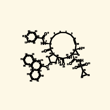 O=C(N[C@H]1CCCCC/C=C\[C@@H]2C[C@@]2(C(=O)NS(=O)(=O)C2CC2)NC(=O)[C@@H]2C[C@@H](Oc3nc4ccccc4c4ccccc34)CN2C1=O)c1ccnnc1